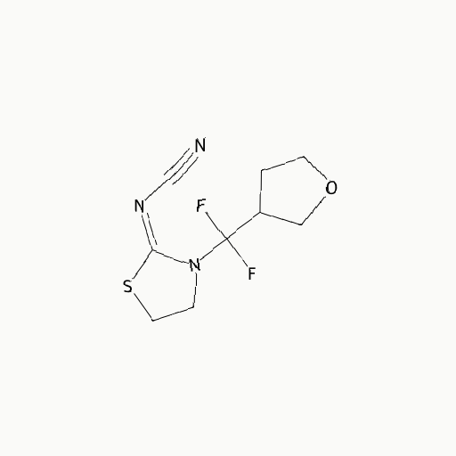 N#CN=C1SCCN1C(F)(F)C1CCOC1